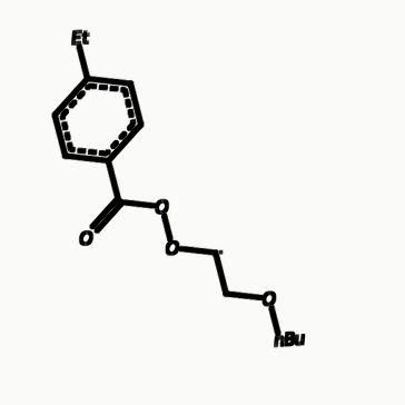 CCCCOC[CH]OOC(=O)c1ccc(CC)cc1